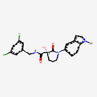 CC(=O)n1ccc2cc(N3CC[C@@](O)(C(=O)NCc4cc(F)cc(Cl)c4)C3=O)ccc21